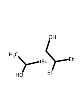 CC(O)C(C)(C)C.CCC(CC)CO